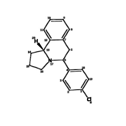 Clc1ccc(C2Cc3ccccc3[C@H]3CCCN23)cc1